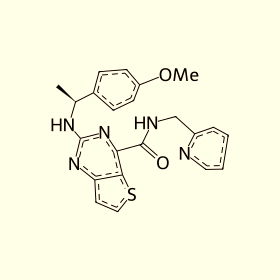 COc1ccc([C@H](C)Nc2nc(C(=O)NCc3ccccn3)c3sccc3n2)cc1